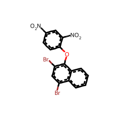 O=[N+]([O-])c1ccc(Oc2c(Br)cc(Br)c3ccccc23)c([N+](=O)[O-])c1